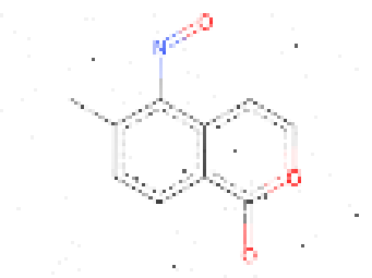 Cc1ccc2c(=O)occc2c1N=O